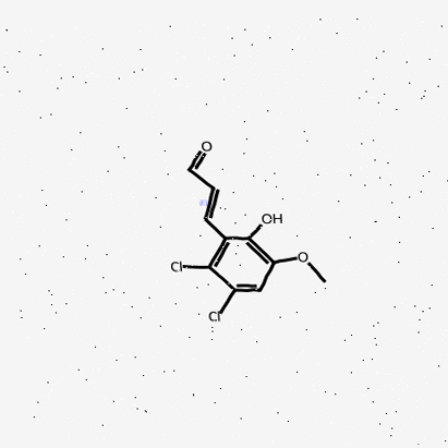 COc1cc(Cl)c(Cl)c(/C=C/C=O)c1O